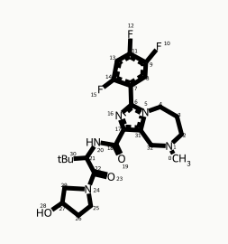 CN1CCCn2c(-c3cc(F)c(F)cc3F)nc(C(=O)NC(C(=O)N3CCC(O)C3)C(C)(C)C)c2C1